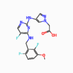 COc1ccc(F)c(CNc2nc(Nc3cnn(CC(=O)O)c3)ncc2F)c1F